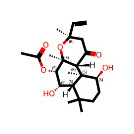 C=C[C@@]1(C)CC(=O)[C@H]2[C@](C)(O1)[C@@H](OC(C)=O)[C@@H](O)[C@H]1C(C)(C)CC[C@H](O)[C@@]12C